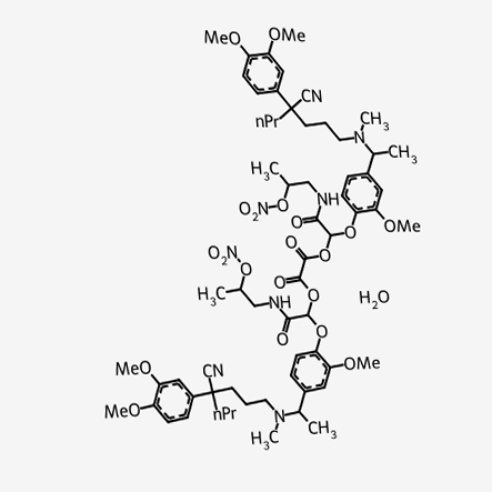 CCCC(C#N)(CCCN(C)C(C)c1ccc(OC(OC(=O)C(=O)OC(Oc2ccc(C(C)N(C)CCCC(C#N)(CCC)c3ccc(OC)c(OC)c3)cc2OC)C(=O)NCC(C)O[N+](=O)[O-])C(=O)NCC(C)O[N+](=O)[O-])c(OC)c1)c1ccc(OC)c(OC)c1.O